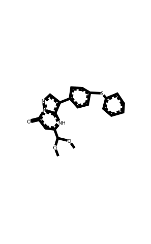 COC(OC)c1cc(=O)n2ncc(-c3ccc(Sc4ccccc4)cc3)c2[nH]1